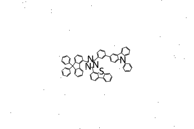 c1ccc(-n2c3ccccc3c3cc(-c4cccc(-c5nc(-c6cccc7c6-c6ccccc6C7(c6ccccc6)c6ccccc6)nc(-c6cccc7c6sc6ccccc67)n5)c4)ccc32)cc1